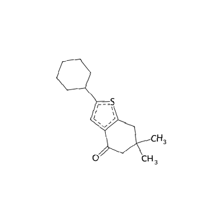 CC1(C)CC(=O)c2cc(C3CCCCC3)sc2C1